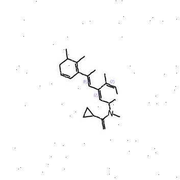 C=C(C1CC1)N(C)C(C)/C=C(/C=C(\C)C1=C(C)C(C)CC=C1)C(\C)=C/C